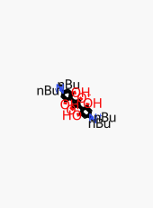 CCCCN(CCCC)c1cc(O)c(C2C(=O)C(C3C(O)=CC(=[N+](CCCC)CCCC)C=C3O)=C2[O-])c(O)c1